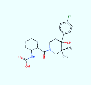 CC1(C)CN(C(=O)C2CCCCC2NC(=O)O)CCC1(O)c1ccc(Cl)cc1